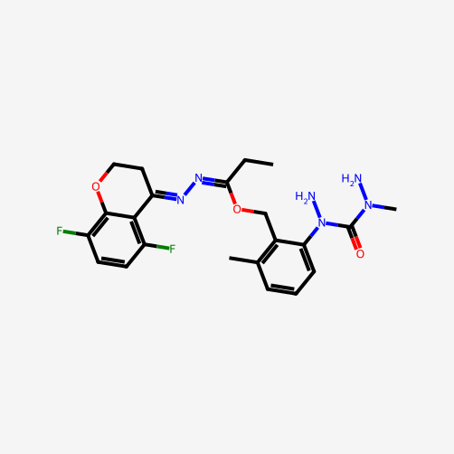 CC/C(=N/N=C1CCOc2c(F)ccc(F)c21)OCc1c(C)cccc1N(N)C(=O)N(C)N